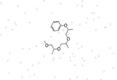 COCC(C)OCC(C)OCC(C)Oc1ccccc1